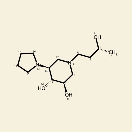 C[C@@H](O)CCN1C[C@@H](O)[C@H](O)[C@@H](N2CCCC2)C1